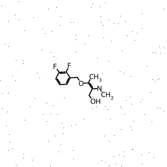 C=N/C(CO)=C(\C)OCc1cccc(F)c1F